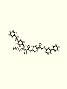 O=C(CC1CCN(C(=O)CCc2cccc(-c3cccnc3)c2)CC1)NC(Cc1ccc(OCc2ccccc2)cc1)C(=O)O